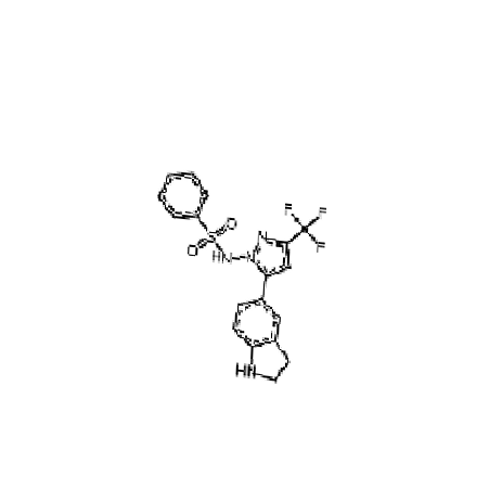 O=S(=O)(Nn1nc(C(F)(F)F)cc1-c1ccc2c(c1)CCN2)c1ccccc1